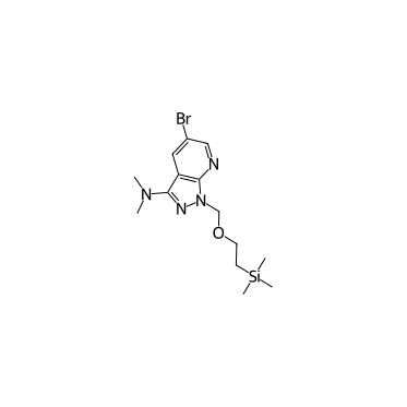 CN(C)c1nn(COCC[Si](C)(C)C)c2ncc(Br)cc12